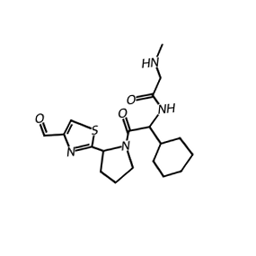 CNCC(=O)NC(C(=O)N1CCCC1c1nc(C=O)cs1)C1CCCCC1